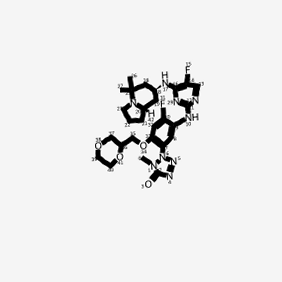 Cn1c(=O)nnn1-c1cc(Nc2ncc(F)c(N[C@@H]3C[C@@H]4CCCN4C(C)(C)C3)n2)c(F)cc1OCC1COCCO1